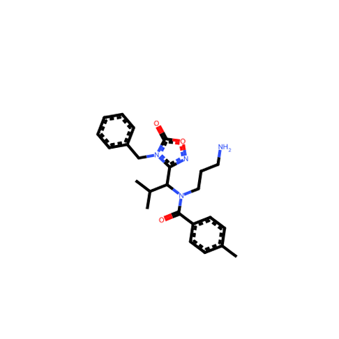 Cc1ccc(C(=O)N(CCCN)C(c2noc(=O)n2Cc2ccccc2)C(C)C)cc1